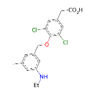 CCNc1cc(C)cc(COc2c(Cl)cc(CC(=O)O)cc2Cl)c1